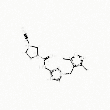 Cc1noc(C)c1Cn1cnc(NC(=O)[C@H]2CCN(C#N)C2)c1